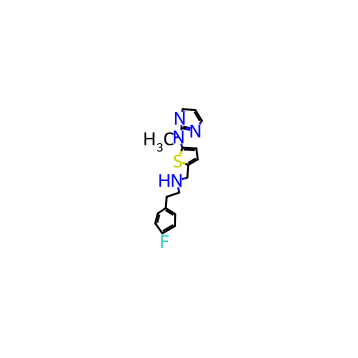 CN(c1ncccn1)c1ccc(CNCCc2ccc(F)cc2)s1